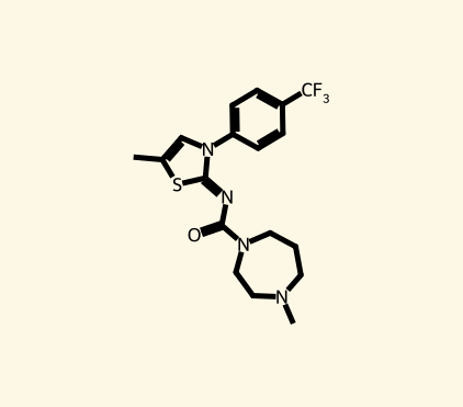 Cc1cn(-c2ccc(C(F)(F)F)cc2)/c(=N/C(=O)N2CCCN(C)CC2)s1